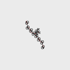 C=CC(=O)OCCCCOC(=O)C1CCC(C(=O)OC2CCC(C(=O)Oc3ccc(OC(=O)C4CCC(OC(=O)C5CCC(C(=O)OCCCCOC(=O)C=C)CC5)CC4)c4c3SC(=C(C#N)C(=O)OC[C@H](C)CC)S4)CC2)CC1